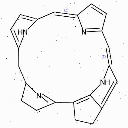 C1=C/C2=C/c3ccc([nH]3)CC3CCC(=N3)C3=c4[nH]/c(cc4CC3)=C\C1=N2